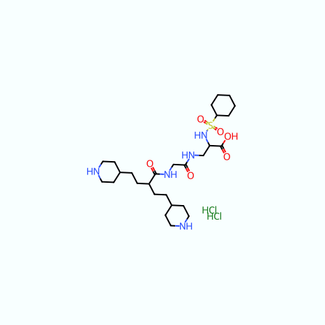 Cl.Cl.O=C(CNC(=O)C(CCC1CCNCC1)CCC1CCNCC1)NCC(NS(=O)(=O)C1CCCCC1)C(=O)O